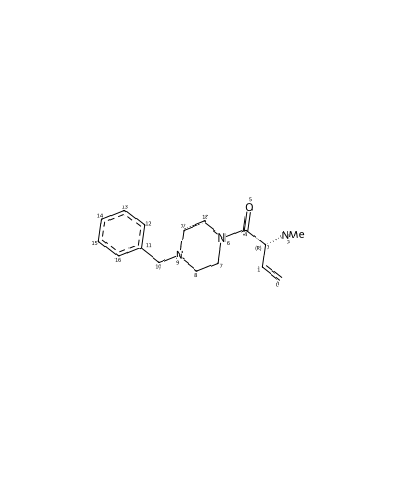 C=C[C@@H](NC)C(=O)N1CCN(Cc2ccccc2)CC1